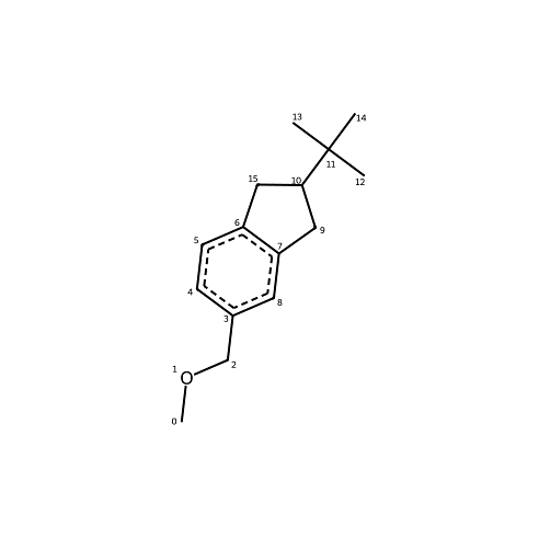 COCc1ccc2c(c1)CC(C(C)(C)C)C2